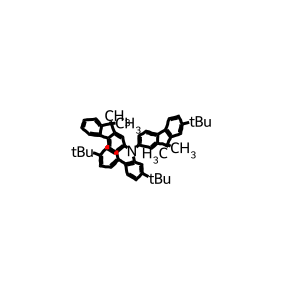 CC(C)(C)c1ccc(-c2ccc(C(C)(C)C)cc2N(c2ccc3c(c2)C(C)(C)c2ccccc2-3)c2ccc3c(c2)C(C)(C)c2cc(C(C)(C)C)ccc2-3)cc1